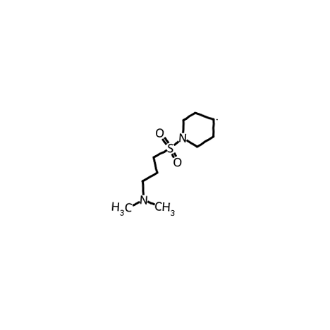 CN(C)CCCS(=O)(=O)N1CC[CH]CC1